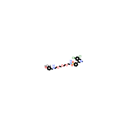 CCCCCCCCOc1ccc(CNCCOCCOCCOCCNS(=O)(=O)c2cccc([C@@H]3CN(C)Cc4c(Cl)cc(Cl)cc43)c2)cc1